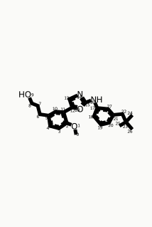 COc1ccc(CCCO)cc1-c1cnc(Nc2cccc(CC(C)(C)C)c2)o1